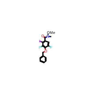 CON(C)C(=O)c1cc(F)c(OCc2ccccc2)c(F)c1I